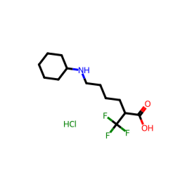 Cl.O=C(O)C(CCCCNC1CCCCC1)C(F)(F)F